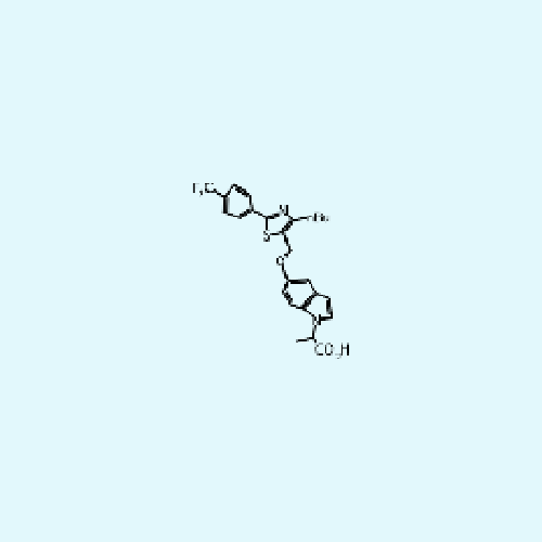 CCCCc1nc(-c2ccc(C(F)(F)F)cc2)sc1COc1ccc2c(ccn2C(C)C(=O)O)c1